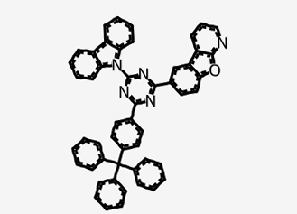 c1ccc(C(c2ccccc2)(c2ccccc2)c2ccc(-c3nc(-c4ccc5oc6ncccc6c5c4)nc(-n4c5ccccc5c5ccccc54)n3)cc2)cc1